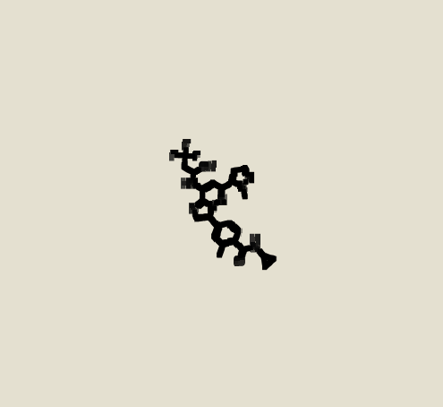 Cc1cc(-c2cnc3c(NC(O)CC(F)(F)F)cc(-c4ccnn4C)nn23)ccc1C(=O)NC1CC1